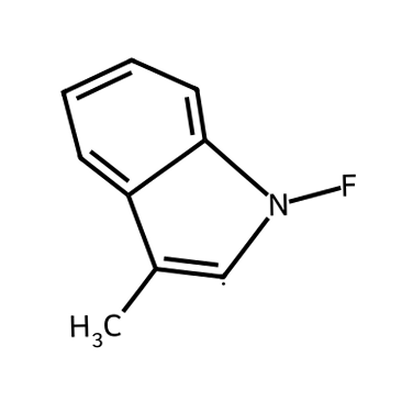 Cc1[c]n(F)c2ccccc12